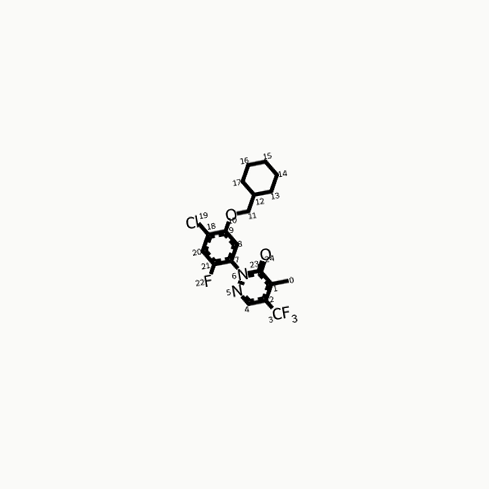 Cc1c(C(F)(F)F)cnn(-c2cc(OCC3CCCCC3)c(Cl)cc2F)c1=O